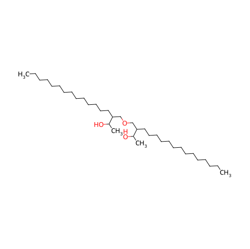 CCCCCCCCCCCCCCC(COCC(CCCCCCCCCCCCCC)C(C)O)C(C)O